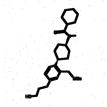 CNCc1cc(CCCO)ccc1[C@H]1CC[C@H](N(C)C(=O)C2CCCCC2)CC1